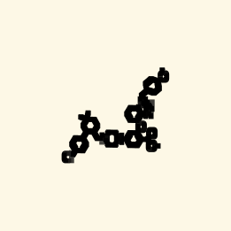 COC(=O)c1ccc(N2CCN(CC3=C(c4ccc(Cl)cc4)CC(C)(C)CC3)CC2)cc1Oc1cccc2c1nnn2Cc1ccc(OC)cc1